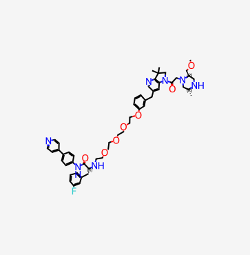 COC[C@H]1CN[C@H](C)CN1CC(=O)N1CC(C)(C)c2ncc(Cc3cccc(OCCOCCOCCOCCN[C@H](Cc4cccc(F)c4)C(=O)Nc4ccc(-c5ccncc5)cc4)c3)cc21